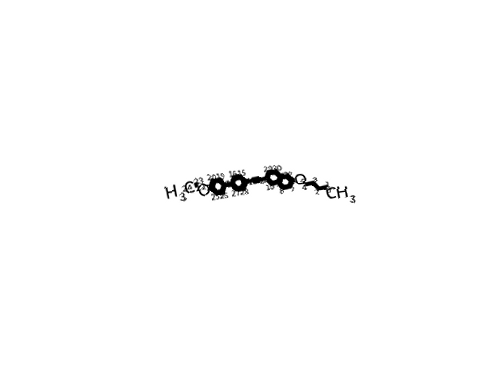 CCCCCOc1ccc2cc(C#Cc3ccc(-c4ccc(OCC)cc4)cc3)ccc2c1